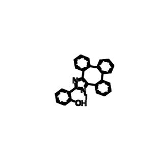 Oc1ccccc1-c1nc2c(n1I)-c1ccccc1-c1ccccc1-c1ccccc1-2